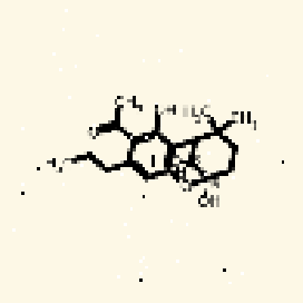 CCCc1cc2c(c(O)c1C(C)=O)C1[C@@H](C)[C@@](O)(CCC1(C)C)O2